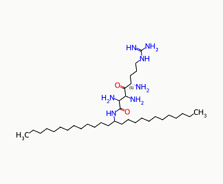 CCCCCCCCCCCCCC(CCCCCCCCCCCC)NC(=O)C(N)C(N)C(=O)[C@@H](N)CCCNC(=N)N